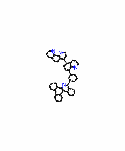 c1cc(-c2nc3c4ccccc4c4ccccc4c3c3ccccc23)cc(-c2ccc(-c3ccnc4c3ccc3cccnc34)c3cccnc23)c1